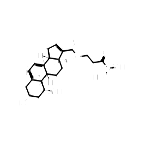 C[C@H](OCCC(=O)N(C)C)C1=CC[C@H]2C3=CC=C4C[C@@H](O)C[C@H](O)[C@]4(C)[C@H]3CC[C@]12C